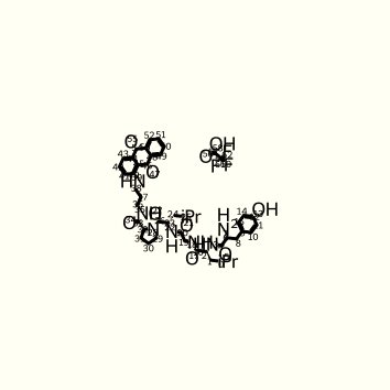 CC(C)C[C@H](NC(=O)[C@@H](N)Cc1ccc(O)cc1)C(=O)NCC(=O)N[C@@H](CC(C)C)C(=O)N1CCC[C@H]1C(=O)NCCCNc1cccc2c1C(=O)c1ccccc1C2=O.O=C(O)C(F)(F)F